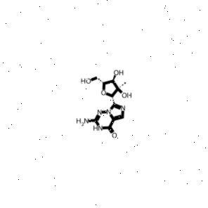 C[C@@]1(O)[C@H](O)[C@@H](CO)O[C@H]1c1ncc2c(=O)[nH]c(N)nn12